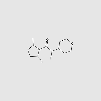 CC1CC[C@@H](I)N1C(=O)C(I)C1CCOCC1